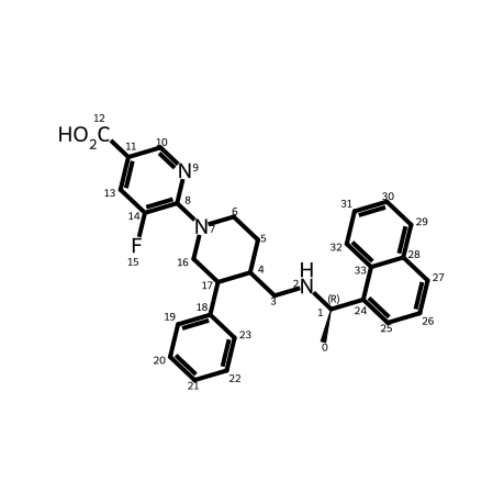 C[C@@H](NCC1CCN(c2ncc(C(=O)O)cc2F)CC1c1ccccc1)c1cccc2ccccc12